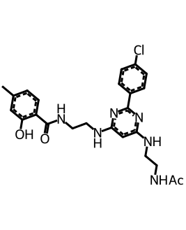 CC(=O)NCCNc1cc(NCCNC(=O)c2ccc(C)cc2O)nc(-c2ccc(Cl)cc2)n1